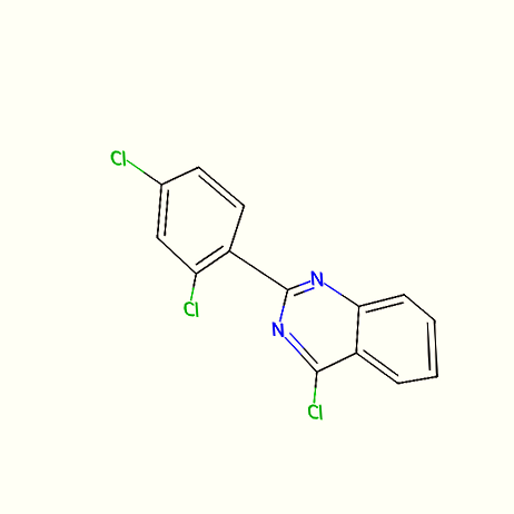 Clc1ccc(-c2nc(Cl)c3ccccc3n2)c(Cl)c1